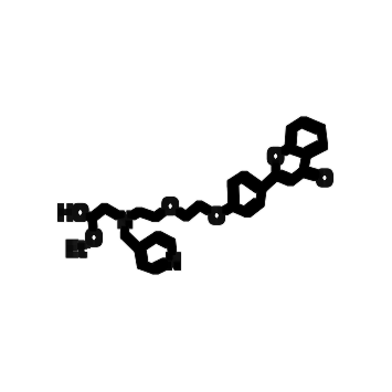 CCOC(O)CN(CCOCCOc1ccc(-c2cc(=O)c3ccccc3o2)cc1)Cc1ccncc1